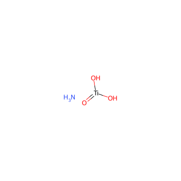 N.[O]=[Ti]([OH])[OH]